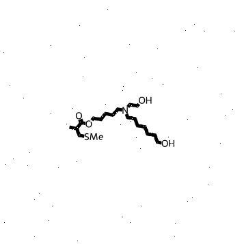 CSCC(C)C(=O)OCCCCCN(CCO)CCCCCCCO